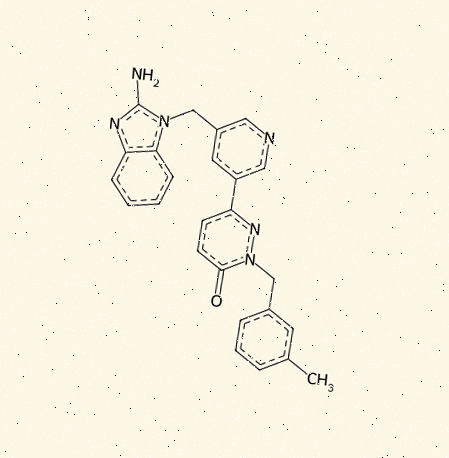 Cc1cccc(Cn2nc(-c3cncc(Cn4c(N)nc5ccccc54)c3)ccc2=O)c1